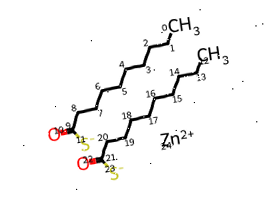 CCCCCCCCCC(=O)[S-].CCCCCCCCCC(=O)[S-].[Zn+2]